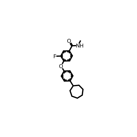 CNC(=O)c1ccc(Oc2ccc(C3CCCCCC3)cc2)c(F)c1